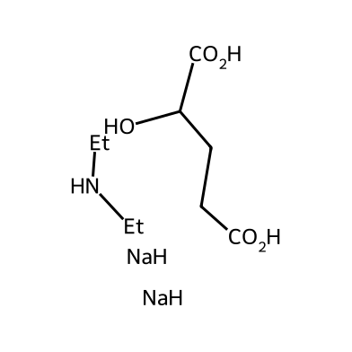 CCNCC.O=C(O)CCC(O)C(=O)O.[NaH].[NaH]